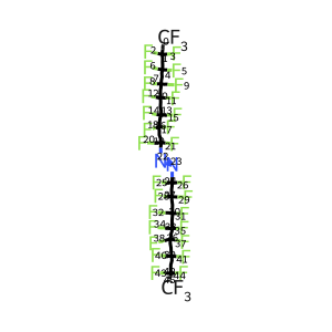 FC(F)(F)C(F)(F)C(F)(F)C(F)(F)C(F)(F)C(F)(F)C(F)(F)C(F)(F)N=NC(F)(F)C(F)(F)C(F)(F)C(F)(F)C(F)(F)C(F)(F)C(F)(F)C(F)(F)F